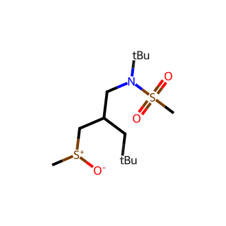 C[S+]([O-])CC(CN(C(C)(C)C)S(C)(=O)=O)CC(C)(C)C